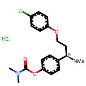 CN[C@H](CCOc1ccc(Cl)cc1)c1ccc(OC(=O)N(C)C)cc1.Cl